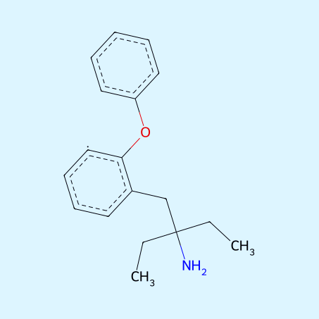 CCC(N)(CC)Cc1ccc[c]c1Oc1ccccc1